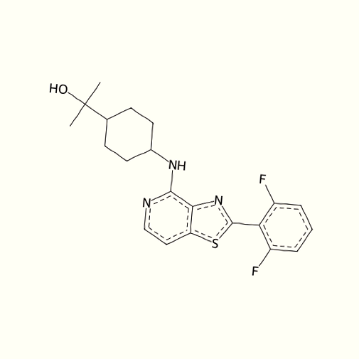 CC(C)(O)C1CCC(Nc2nccc3sc(-c4c(F)cccc4F)nc23)CC1